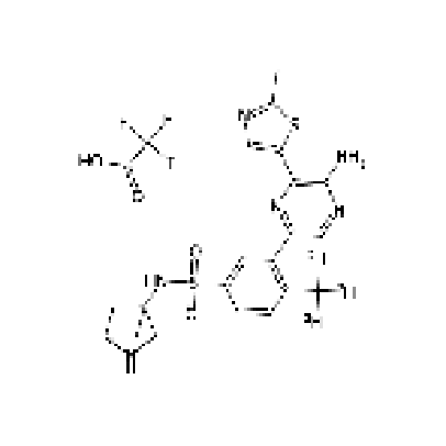 O=C(O)C(F)(F)F.[2H]C([2H])([2H])c1ccc(S(=O)(=O)NC23CNC(C2)C3)cc1-c1cnc(N)c(-c2cnc(C)s2)n1